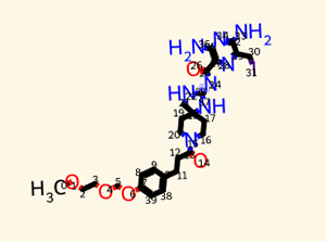 COCCOCOc1ccc(CCC(=O)N2CCC3(CC2)CN/C(=N\C(=O)c2nc(CI)c(N)nc2N)N3)cc1